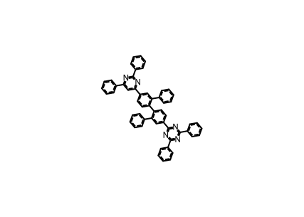 c1ccc(-c2cc(-c3ccc(-c4ccc(-c5nc(-c6ccccc6)nc(-c6ccccc6)n5)cc4-c4ccccc4)c(-c4ccccc4)c3)nc(-c3ccccc3)n2)cc1